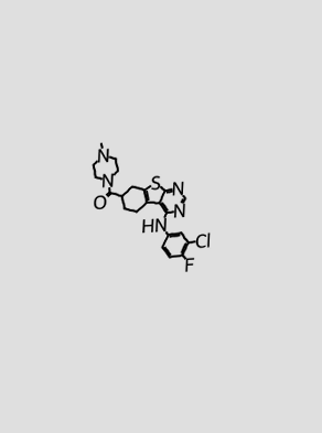 CN1CCN(C(=O)C2CCc3c(sc4ncnc(Nc5ccc(F)c(Cl)c5)c34)C2)CC1